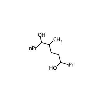 CCCC(O)C(C)CCC(O)C(C)C